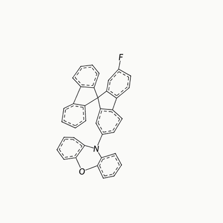 Fc1ccc2c(c1)C1(c3ccccc3-c3ccccc31)c1cc(N3c4ccccc4Oc4ccccc43)ccc1-2